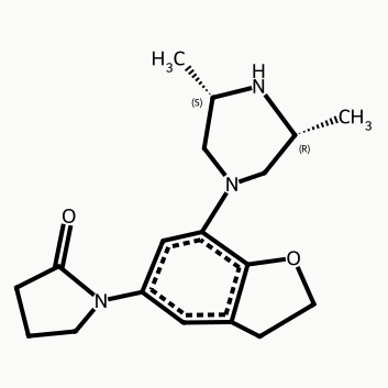 C[C@@H]1CN(c2cc(N3CCCC3=O)cc3c2OCC3)C[C@H](C)N1